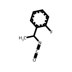 CC(N=C=O)c1ccccc1F